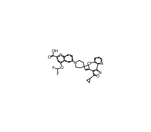 O=C(O)c1cc(OC(F)F)c2cc(N3CCC4(C=C(c5c(-c6ncccc6Cl)noc5C5CC5)C4)CC3)ccc2n1